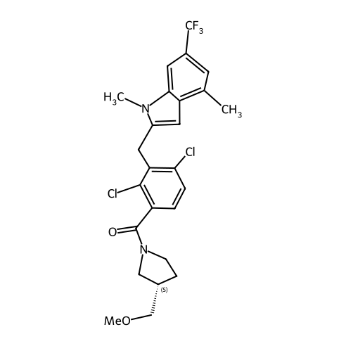 COC[C@H]1CCN(C(=O)c2ccc(Cl)c(Cc3cc4c(C)cc(C(F)(F)F)cc4n3C)c2Cl)C1